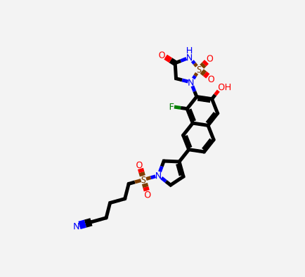 N#CCCCCS(=O)(=O)N1CC=C(c2ccc3cc(O)c(N4CC(=O)NS4(=O)=O)c(F)c3c2)C1